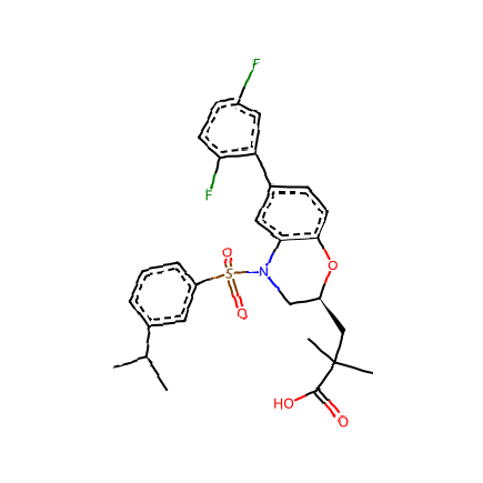 CC(C)c1cccc(S(=O)(=O)N2C[C@H](CC(C)(C)C(=O)O)Oc3ccc(-c4cc(F)ccc4F)cc32)c1